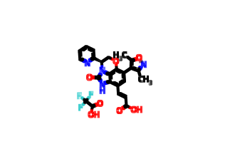 Cc1noc(C)c1-c1cc(/C=C/C(=O)O)c2[nH]c(=O)n3c2c1OC[C@@H]3c1ccccn1.O=C(O)C(F)(F)F